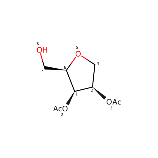 CC(=O)O[C@@H]1[C@H](OC(C)=O)[CH]O[C@@H]1CO